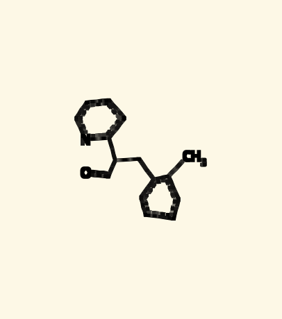 Cc1ccccc1CC(C=O)c1ccccn1